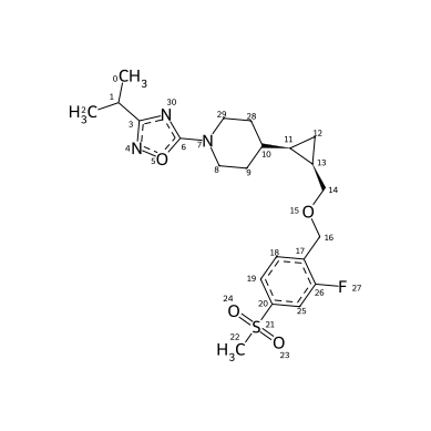 CC(C)c1noc(N2CCC([C@H]3C[C@H]3COCc3ccc(S(C)(=O)=O)cc3F)CC2)n1